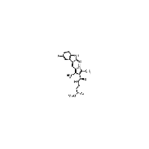 CO[C@@H](CCNC(=O)c1c(C)[nH]c(/C=C2\C(=O)Nc3ccc(F)cc32)c1C)C(C)=O